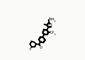 Cc1c(-c2ccc(-c3ccc(C(=O)C4CCCC(F)C4)cc3)cc2C(F)(F)F)csc1CN